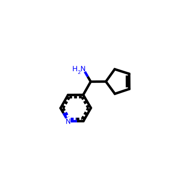 NC(c1ccncc1)C1CC=CC1